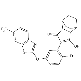 CCc1ccc(Oc2nc3ccc(C(F)(F)F)cc3s2)cc1C1=C(O)C2C3CCC(CC3)C2C1=O